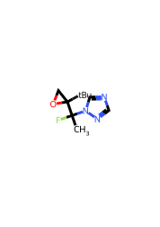 CC(C)(C)C1(C(C)(F)n2cncn2)CO1